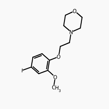 COc1cc(I)ccc1OCCN1CCOCC1